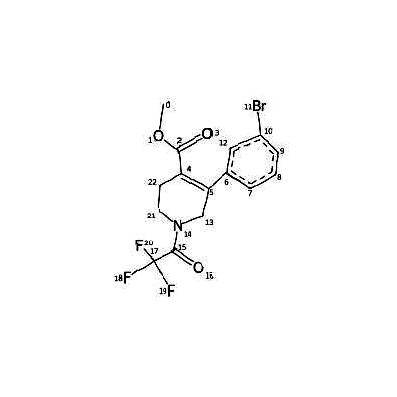 COC(=O)C1=C(c2cccc(Br)c2)CN(C(=O)C(F)(F)F)CC1